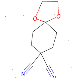 N#CC1(C#N)CCC2(CC1)OCCO2